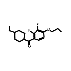 CCCOc1ccc(C(=O)C2CCC(CC)CC2)c(F)c1F